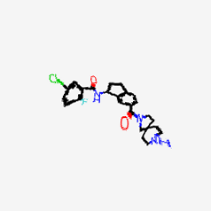 O=C(NC1CCc2ccc(C(=O)N3CCC4(CCNCC4)C3)cc21)c1cc(Cl)ccc1F